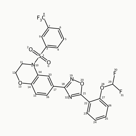 O=S(=O)(c1cccc(C(F)(F)F)c1)N1CCOc2ccc(-c3noc(-c4ccccc4OC(F)F)n3)cc21